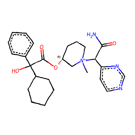 C[N+]1(C(C(N)=O)c2ccncn2)CCC[C@@H](OC(=O)C(O)(c2ccccc2)C2CCCCC2)C1